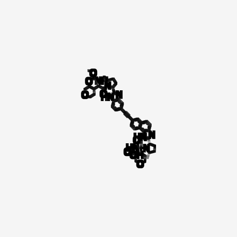 COC(=O)N[C@H](C(=O)N1[C@@H](C)CC[C@H]1c1nc2cc(C#Cc3ccc4c(ccc5nc([C@@H]6CC[C@H](C)N6C(C=O)(NC(=O)O)C6CCOCC6)[nH]c54)c3)ccc2[nH]1)C1CCOCC1